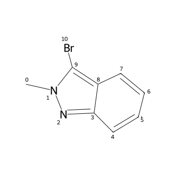 Cn1nc2c[c]ccc2c1Br